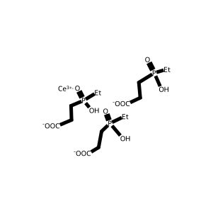 CCP(=O)(O)CCC(=O)[O-].CCP(=O)(O)CCC(=O)[O-].CCP(=O)(O)CCC(=O)[O-].[Ce+3]